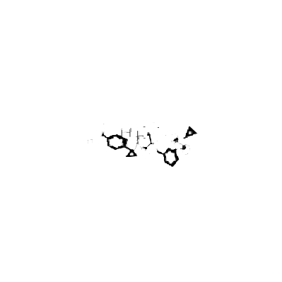 CC(C)C(OCc1cccc(S(=O)(=O)C2CC2)c1)C(=O)NC1(c2ccc(C(=O)O)cc2)CC1